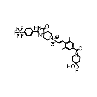 Cc1cc(C(=O)N2CCC(O)(CF)CC2)cc(C)c1C=CS(=O)(=O)N1CCC2(CC1)N=C(c1ccc(S(F)(F)(F)(F)F)cc1)NC2=O